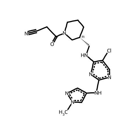 Cn1cc(Nc2ncc(Cl)c(NC[C@H]3CCCN(C(=O)CC#N)C3)n2)cn1